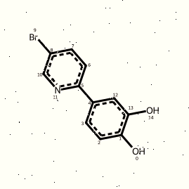 Oc1ccc(-c2ccc(Br)cn2)cc1O